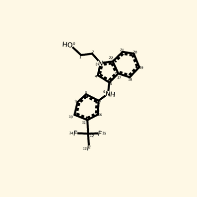 OCCn1cc(Nc2cccc(C(F)(F)F)c2)c2ccccc21